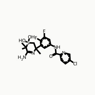 CC1(c2cc(NC(=O)c3ccc(Cl)cn3)cc(F)c2F)CS(O)(O)C(C)(C)C(N)=N1